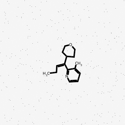 CC/C=C(\c1ncccc1C)C1CCOCC1